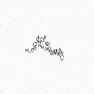 COc1cccc(C(=O)Nc2cc(-c3csc(-c4sc(NC(=O)NCC5CCCCC5)nc4N)n3)c(F)cc2F)c1